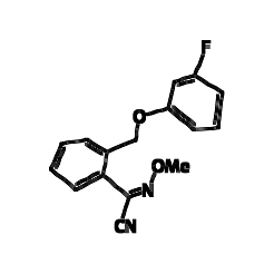 CO/N=C(/C#N)c1ccccc1COc1cccc(F)c1